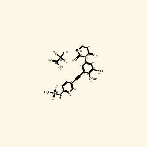 COc1c(C#Cc2ccc(NS(C)(=O)=O)nc2)cc(N2C(=O)CCNC2=O)cc1C(C)(C)C.O=C(O)C(F)(F)F